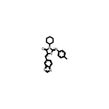 Cc1ccc(/N=C2\S/C(=C\c3ccc4ncsc4c3)C(=O)N2C2CCCCC2)cc1